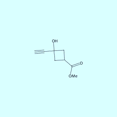 C#CC1(O)CC(C(=O)OC)C1